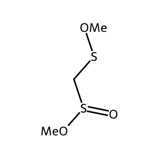 COSCS(=O)OC